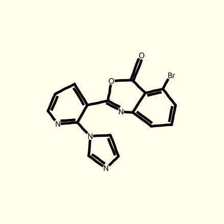 O=c1oc(-c2cccnc2-n2ccnc2)nc2cccc(Br)c12